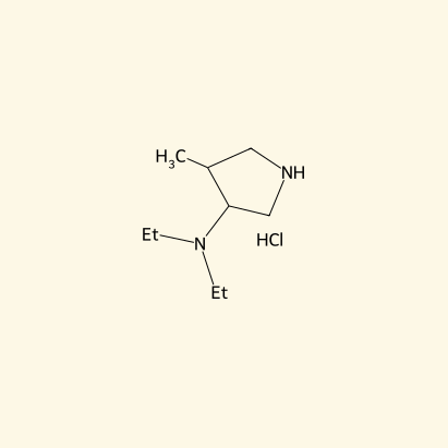 CCN(CC)C1CNCC1C.Cl